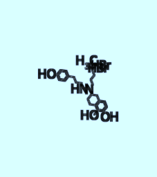 Br.Br.CCCCCCN(NCCCc1ccc(O)cc1)C1CCc2c(ccc(O)c2O)C1